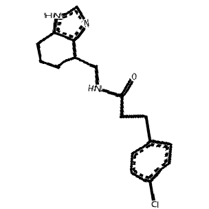 O=C(CCc1ccc(Cl)cc1)NCC1CCCc2[nH]cnc21